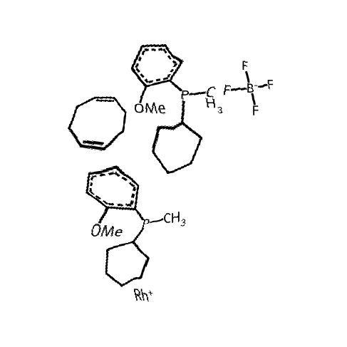 C1=C\CC/C=C\CC/1.COc1ccccc1P(C)C1CCCCC1.COc1ccccc1P(C)C1CCCCC1.F[B-](F)(F)F.[Rh+]